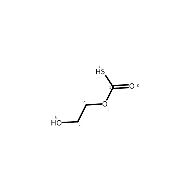 O=C(S)OCCO